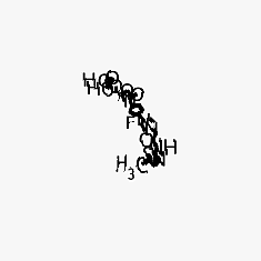 Cc1cnc(NC(=O)CN2CCN(c3ccc(N4C[C@H](COP(=O)(O)O)OC4=O)cc3F)CC2)s1